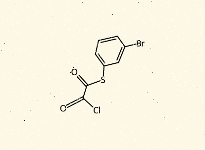 O=C(Cl)C(=O)Sc1cccc(Br)c1